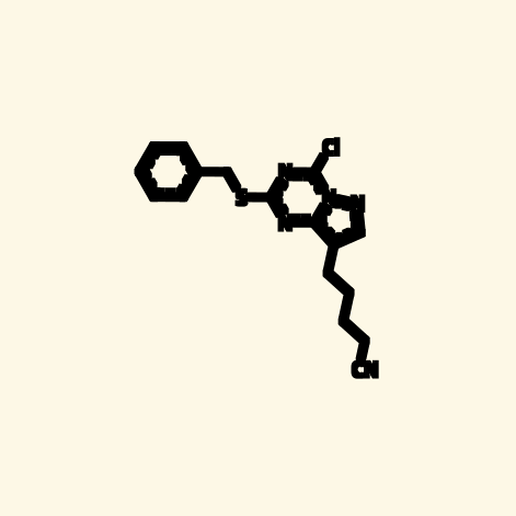 N#CCCCCc1cnn2c(Cl)nc(SCc3ccccc3)nc12